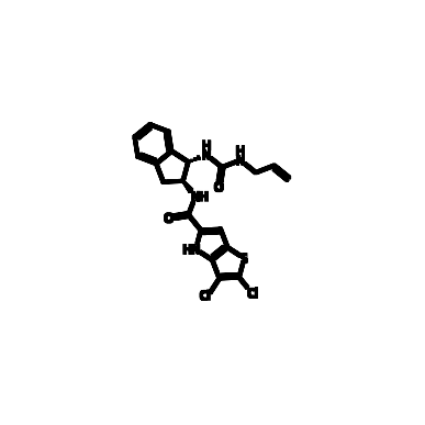 C=CCNC(=O)N[C@H]1c2ccccc2C[C@@H]1NC(=O)c1cc2sc(Cl)c(Cl)c2[nH]1